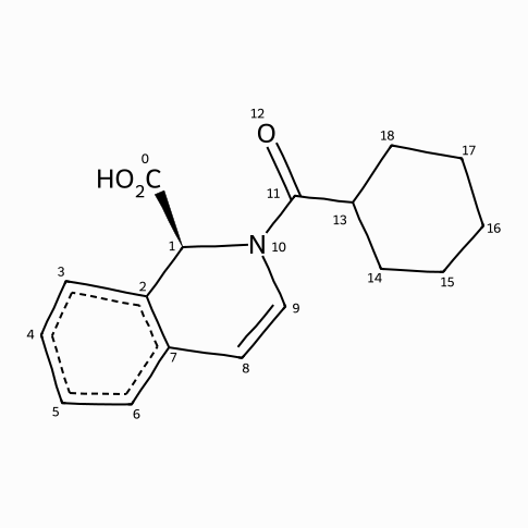 O=C(O)[C@@H]1c2ccccc2C=CN1C(=O)C1CCCCC1